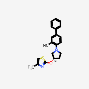 N#Cc1cc(-c2ccccc2)ccc1N1CC[C@H](Oc2nc(C(F)(F)F)cs2)C1